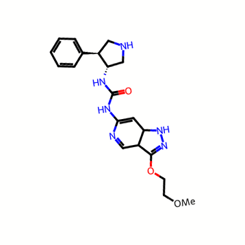 COCCOC1=NNC2C=C(NC(=O)N[C@H]3CNC[C@@H]3c3ccccc3)N=CC12